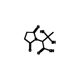 CC(S)(S)C(C(=O)O)N1C(=O)CCC1=O